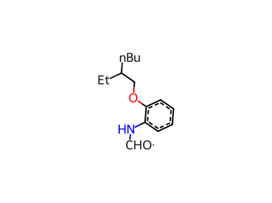 CCCCC(CC)COc1ccccc1N[C]=O